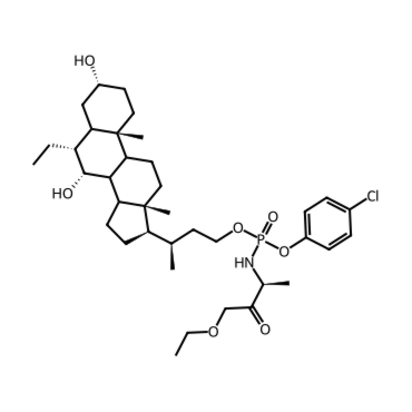 CCOCC(=O)[C@H](C)NP(=O)(OCC[C@@H](C)[C@H]1CCC2C3C(CC[C@@]21C)[C@@]1(C)CC[C@@H](O)CC1[C@@H](CC)[C@H]3O)Oc1ccc(Cl)cc1